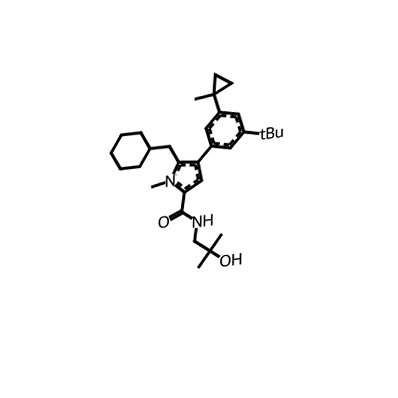 Cn1c(C(=O)NCC(C)(C)O)cc(-c2cc(C(C)(C)C)cc(C3(C)CC3)c2)c1CC1CCCCC1